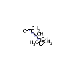 CC1=C(/C=C/C(C)=C/C=C/C(C)=C\C=O)C(C)(C)CCC1